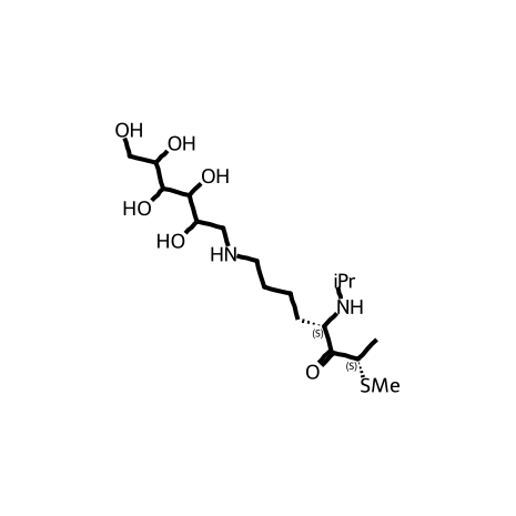 CS[C@@H](C)C(=O)[C@H](CCCCNCC(O)C(O)C(O)C(O)CO)NC(C)C